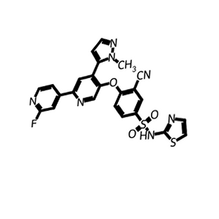 Cn1nccc1-c1cc(-c2ccnc(F)c2)ncc1Oc1ccc(S(=O)(=O)Nc2nccs2)cc1C#N